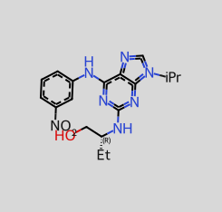 CC[C@H](CO)Nc1nc(Nc2cccc([N+](=O)[O-])c2)c2ncn(C(C)C)c2n1